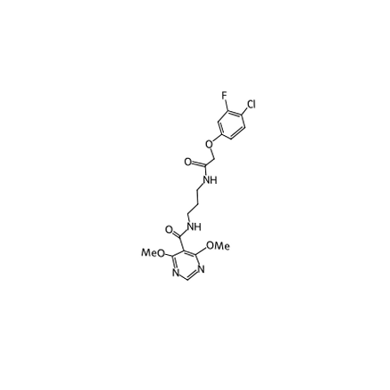 COc1ncnc(OC)c1C(=O)NCCCNC(=O)COc1ccc(Cl)c(F)c1